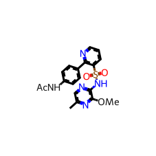 COc1nc(C)cnc1NS(=O)(=O)c1cccnc1-c1ccc(NC(C)=O)cc1